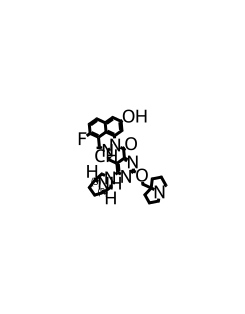 C#Cc1c(F)ccc2cc(O)cc(-n3ncc4c(N5C[C@H]6CC[C@@H](C5)N6)nc(OCC56CCCN5CCC6)nc4c3=O)c12